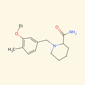 CCOc1cc(CN2CC[CH]CC2C(N)=O)ccc1C